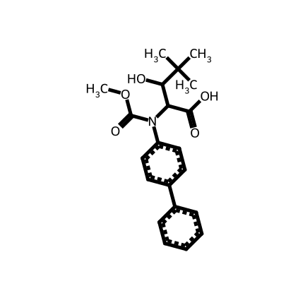 COC(=O)N(c1ccc(-c2ccccc2)cc1)C(C(=O)O)C(O)C(C)(C)C